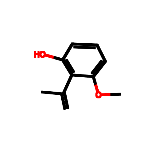 C=C(C)c1c(O)cccc1OC